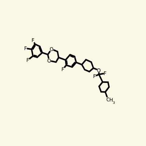 CC1CCC(C(F)(F)OC2CCC(c3ccc(C4COC(c5cc(F)c(F)c(F)c5)OC4)c(F)c3)CC2)CC1